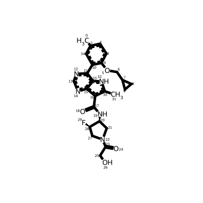 Cc1ccc(OCC2CC2)c(-c2ncnc3c(C(=O)N[C@H]4CN(C(=O)CO)C[C@H]4F)c(C)[nH]c23)c1